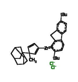 CC(C)(C)c1ccc2c(c1)Cc1c-2ccc(C(C)(C)C)[c]1[Zr+2][C]1=CC(C)(C23CC4CC(CC(C4)C2)C3)C=C1.[Cl-].[Cl-]